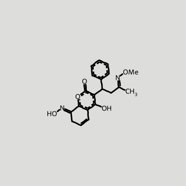 CON=C(C)CC(c1ccccc1)c1c(O)c2c(oc1=O)C(=NO)CC=C2